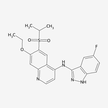 CCOc1cc2nccc(Nc3n[nH]c4ccc(F)cc34)c2cc1S(=O)(=O)C(C)C